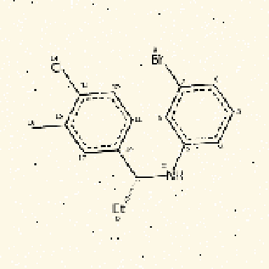 CC[C@@H](Nc1cccc(Br)c1)c1ccc(Cl)c(C)c1